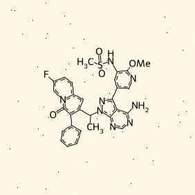 COc1ncc(-c2nn(C(C)c3cc4ccc(F)cn4c(=O)c3-c3ccccc3)c3ncnc(N)c23)cc1NS(C)(=O)=O